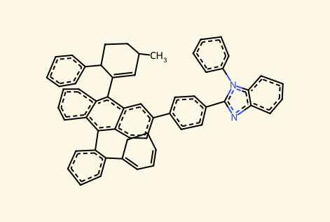 CC1C=C(c2c3ccccc3c(-c3ccccc3C3=CC=CCC3)c3ccc(-c4ccc(-c5nc6ccccc6n5-c5ccccc5)cc4)cc23)C(c2ccccc2)CC1